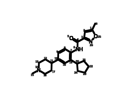 Cc1cc(C(=O)Nc2ccc(C3CCN(C)CC3)cc2C2CCCC2)no1